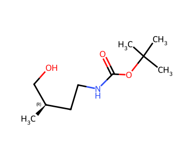 C[C@@H](CO)CCNC(=O)OC(C)(C)C